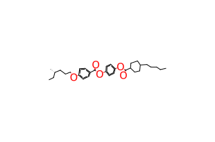 CCCCCC1CCC(C(=O)Oc2ccc(OC(=O)c3ccc(OCCC[C@@H](C)CC)cc3)cc2)CC1